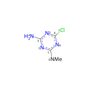 CNc1nc(N)nc(Cl)n1